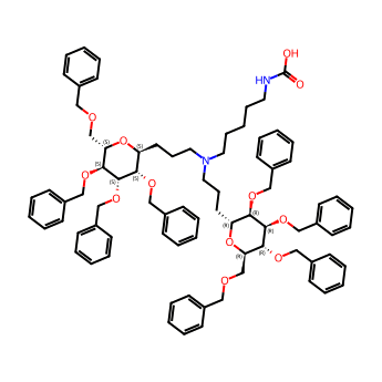 O=C(O)NCCCCCN(CCC[C@@H]1O[C@@H](COCc2ccccc2)[C@H](OCc2ccccc2)[C@@H](OCc2ccccc2)[C@H]1OCc1ccccc1)CCC[C@H]1O[C@H](COCc2ccccc2)[C@@H](OCc2ccccc2)[C@H](OCc2ccccc2)[C@@H]1OCc1ccccc1